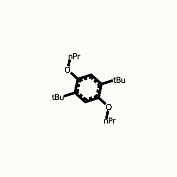 CCCOc1cc(C(C)(C)C)c(OCCC)cc1C(C)(C)C